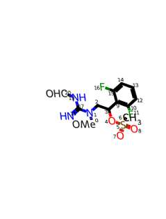 CON(CC(OS(C)(=O)=O)c1c(F)cccc1F)C(=N)NC=O